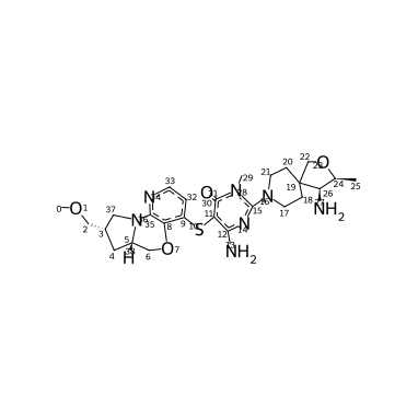 COC[C@H]1C[C@H]2COc3c(Sc4c(N)nc(N5CCC6(CC5)CO[C@@H](C)[C@H]6N)n(C)c4=O)ccnc3N2C1